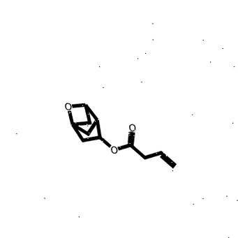 C=CCC(=O)OC1CC23CC(O2)C1C3